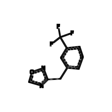 FC(F)(F)c1cccc(Cc2ncon2)c1